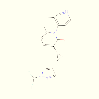 Cc1cnccc1-n1c(C)ccc([C@H]2C[C@@H]2c2cnn(C(F)F)c2)c1=O